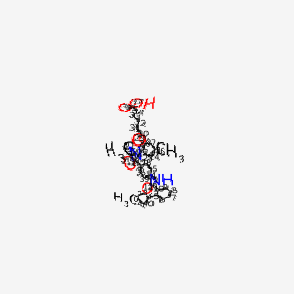 Cc1ccc(-c2ccccc2C(=O)Nc2ccc(C(=O)N(C)c3ccc(C)cc3OCCCCCC(=O)O)cc2)cc1